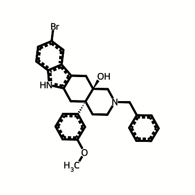 COc1cccc([C@@]23CCN(Cc4ccccc4)C[C@@]2(O)Cc2c([nH]c4ccc(Br)cc24)C3)c1